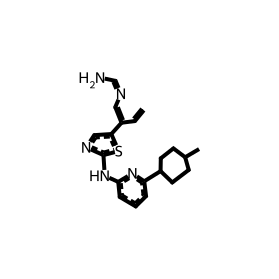 C=C/C(=C\N=C/N)c1cnc(Nc2cccc(C3CCC(C)CC3)n2)s1